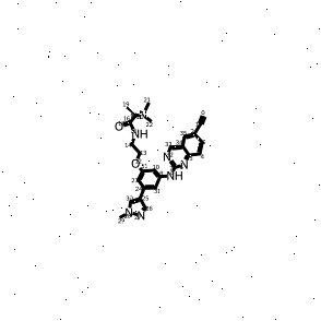 C#Cc1ccc2nc(Nc3cc(OCCNC(=O)[C@@H](C)N(C)C)cc(-c4cnn(C)c4)c3)ncc2c1